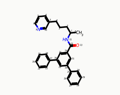 CC(CCCc1cccnc1)NC(=O)c1cc(-c2ccccc2)cc(-c2ccccc2)c1